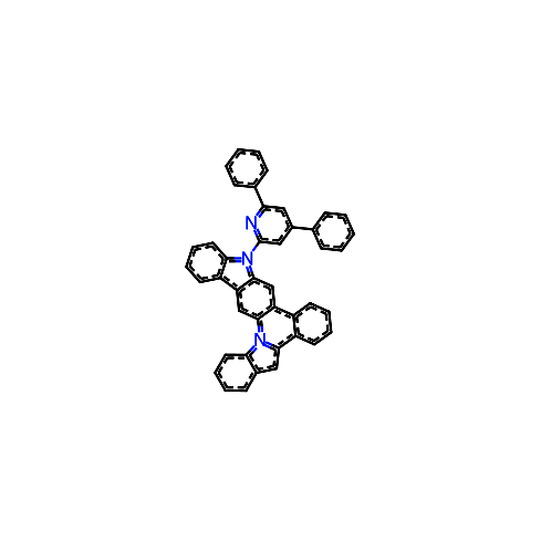 c1ccc(-c2cc(-c3ccccc3)nc(-n3c4ccccc4c4cc5c(cc43)c3ccccc3c3cc4ccccc4n35)c2)cc1